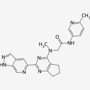 Cc1ccc(NC(=O)CN(C)c2nc(-c3cc4cn[nH]c4cn3)nc3c2CCC3)cn1